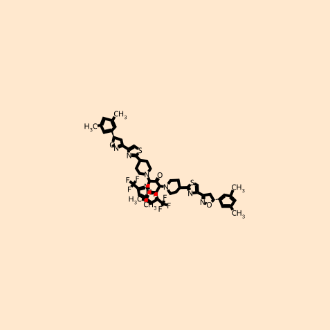 Cc1cc(C)cc([C@H]2CC(c3csc(C4CCN(C(Cn5nc(C(F)(F)F)cc5C)C(=O)C(Cn5nc(C(F)(F)F)cc5C)N5CCC(c6nc(C7=NO[C@@H](c8cc(C)cc(C)c8)C7)cs6)CC5)CC4)n3)=NO2)c1